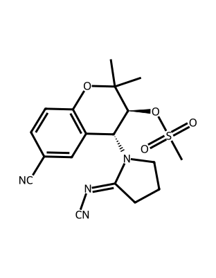 CC1(C)Oc2ccc(C#N)cc2[C@@H](N2CCCC2=NC#N)[C@@H]1OS(C)(=O)=O